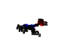 CCOP(=O)(CCCCCCn1c2ccc(/C(C)=N/OC(C)=O)cc2c2cc([N+](=O)[O-])ccc21)OCC